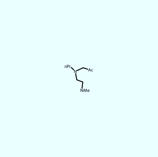 CCCN(CCNC)CC(C)=O